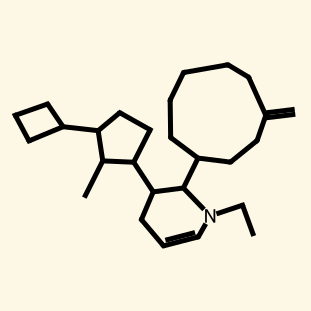 C=C1CCCCCC(C2C(C3CCC(C4CCC4)C3C)CC=CN2CC)CC1